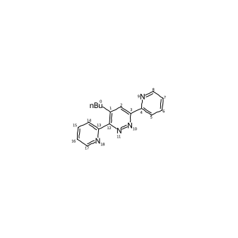 CCCCc1cc(-c2ccccn2)nnc1-c1ccccn1